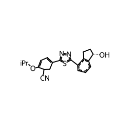 CC(C)OC1=CC=C(c2nnc(-c3cccc4c3CC[C@@H]4O)s2)CC1C#N